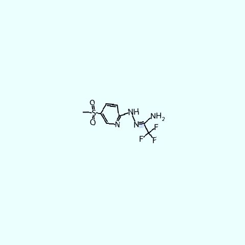 CS(=O)(=O)c1ccc(N/N=C(\N)C(F)(F)F)nc1